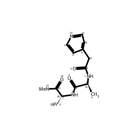 CCC[C@@H](NC(=O)[C@H](C)NC(=O)Cc1ccncc1)C(=O)NC